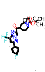 CC1CC(C(=O)c2cn3nc(-c4ccc(F)cc4)cc(C(F)(F)F)c3n2)CCCN1C(=O)OC(C)(C)C